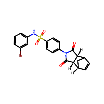 O=C1[C@@H]2[C@H](C(=O)N1c1ccc(S(=O)(=O)Nc3cccc(Br)c3)cc1)C1C=C[C@H]2C1